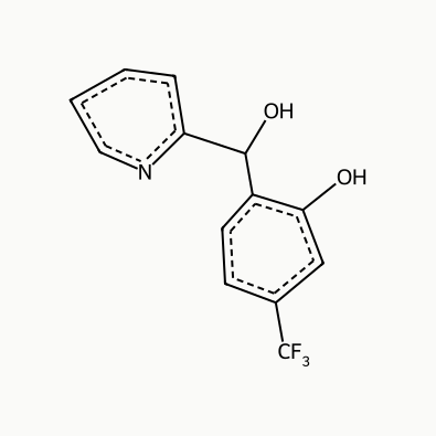 Oc1cc(C(F)(F)F)ccc1C(O)c1ccccn1